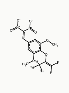 [2H]C([2H])([2H])C(Oc1c(OC)cc(C=C([N+](=O)[O-])[N+](=O)[O-])cc1OC)=C(F)F